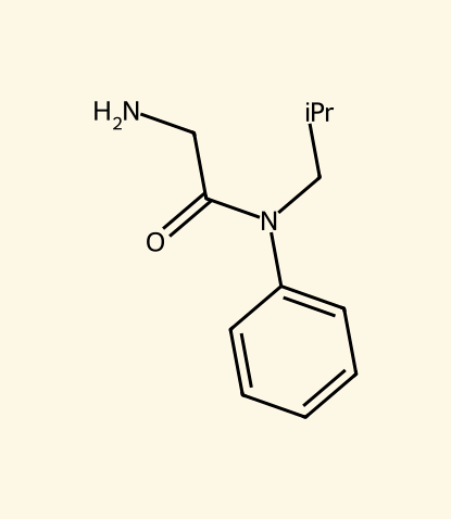 CC(C)CN(C(=O)CN)c1ccccc1